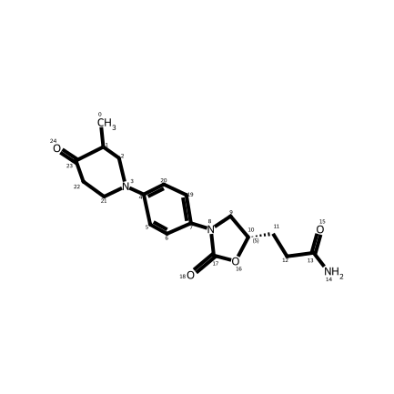 CC1CN(c2ccc(N3C[C@H](CCC(N)=O)OC3=O)cc2)CCC1=O